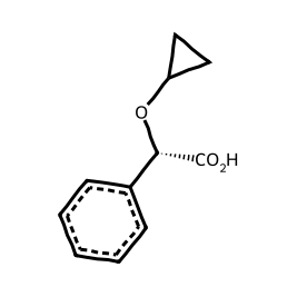 O=C(O)[C@@H](OC1CC1)c1ccccc1